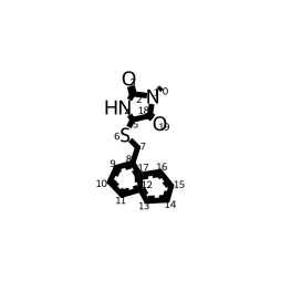 CN1C(=O)NC(SCc2cccc3ccccc23)C1=O